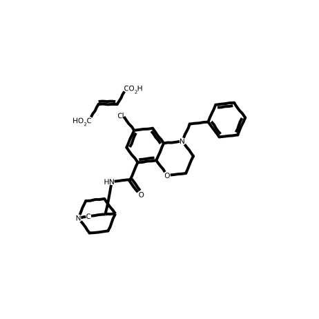 O=C(NC1CN2CCC1CC2)c1cc(Cl)cc2c1OCCN2Cc1ccccc1.O=C(O)C=CC(=O)O